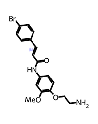 COc1cc(NC(=O)/C=C/c2ccc(Br)cc2)ccc1OCCN